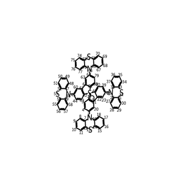 O=S12(c3ccc(N4c5ccccc5Sc5ccccc54)cc3-c3cc(N4c5ccccc5Sc5ccccc54)ccc31)c1ccc(N3c4ccccc4Sc4ccccc43)cc1-c1cc(N3c4ccccc4Sc4ccccc43)ccc12